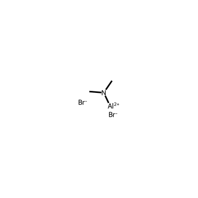 C[N](C)[Al+2].[Br-].[Br-]